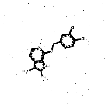 Cc1[nH]c2c(OCc3ccc(Cl)c(Cl)c3)nccc2c1C